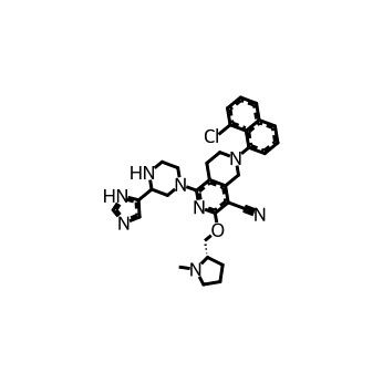 CN1CCC[C@H]1COc1nc(N2CCNC(c3cnc[nH]3)C2)c2c(c1C#N)CN(c1cccc3cccc(Cl)c13)CC2